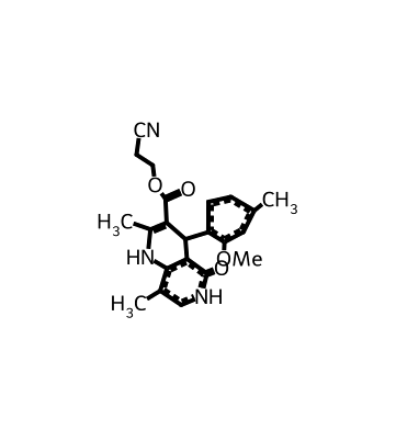 COc1cc(C)ccc1C1C(C(=O)OCCC#N)=C(C)Nc2c(C)c[nH]c(=O)c21